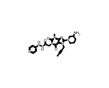 CC#CCn1c(N2CCCC(N)C2)nc2c1c(=O)n(CC(=O)NNc1ccncc1)c(=O)n2C